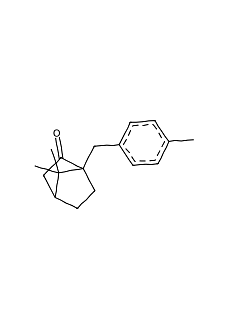 Cc1ccc(CC23CCC(CC2=O)C3(C)C)cc1